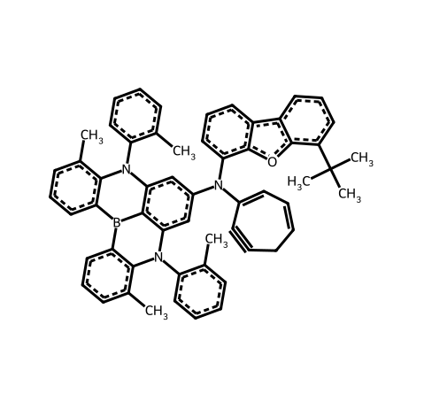 Cc1ccccc1N1c2cc(N(C3=CC=CCC#C3)c3cccc4c3oc3c(C(C)(C)C)cccc34)cc3c2B(c2cccc(C)c21)c1cccc(C)c1N3c1ccccc1C